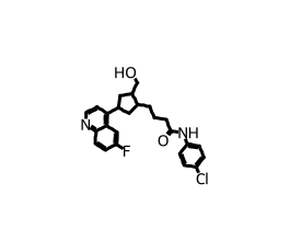 O=C(CCCC1CC(c2ccnc3ccc(F)cc23)CC1CO)Nc1ccc(Cl)cc1